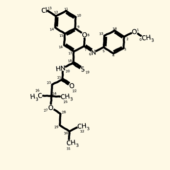 COc1ccc(/N=c2\oc3ccc(Cl)cc3cc2C(=S)NC(=O)CC(C)(C)OCCC(C)C)cc1